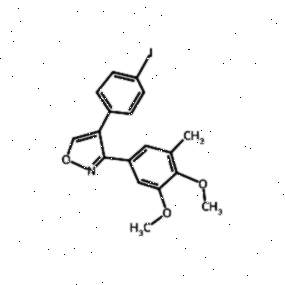 COc1cc(-c2nocc2-c2ccc(I)cc2)cc(C)c1OC